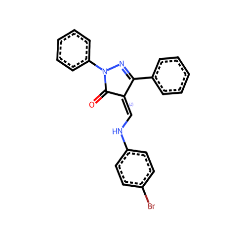 O=C1/C(=C\Nc2ccc(Br)cc2)C(c2ccccc2)=NN1c1ccccc1